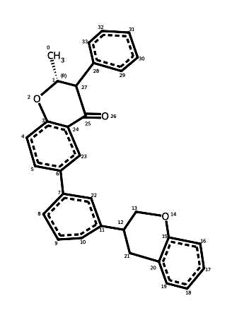 C[C@H]1Oc2ccc(-c3cccc(C4COc5ccccc5C4)c3)cc2C(=O)C1c1ccccc1